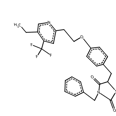 CCc1cnc(CCOc2ccc(CC3SC(=O)N(Cc4ccccc4)C3=O)cc2)cc1C(F)(F)F